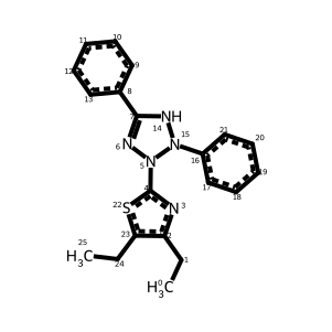 CCc1nc(N2N=C(c3ccccc3)NN2c2ccccc2)sc1CC